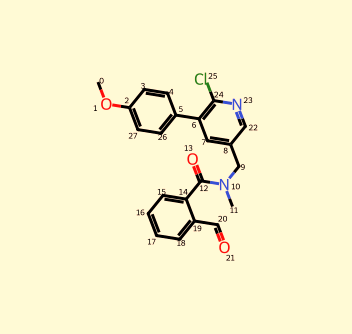 COc1ccc(-c2cc(CN(C)C(=O)c3ccccc3C=O)cnc2Cl)cc1